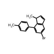 Cc1ccc(-c2cc(Br)cc3c2C(C)C=C3)cc1